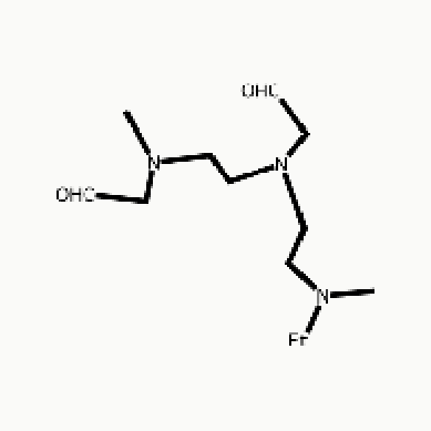 CCN(C)CCN(CC=O)CCN(C)CC=O